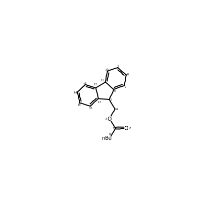 CCCCC(=O)OCC1c2ccccc2-c2ccccc21